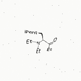 CCC[C@H](C)C[C@@H](C(=O)CC)N(CC)CC